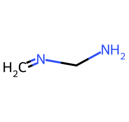 C=NCN